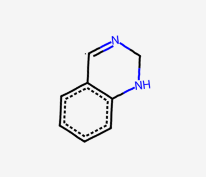 [C]1=NCNc2ccccc21